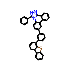 C1=CC(c2cccc(-c3ccc4c(c3)c3ccccc3c3nnc(-c5ccccc5)n43)c2)=C2Sc3ccccc3C2C1